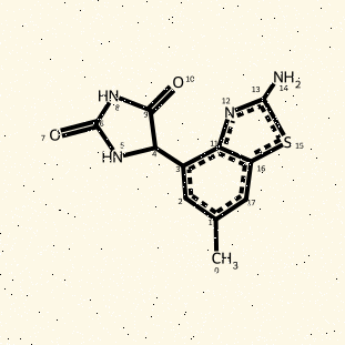 Cc1cc(C2NC(=O)NC2=O)c2nc(N)sc2c1